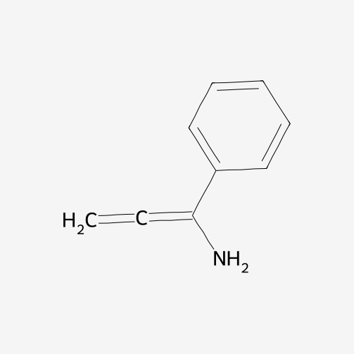 C=C=C(N)c1ccccc1